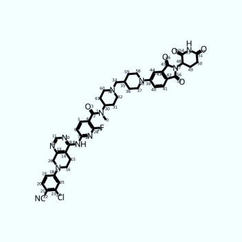 CN(C(=O)c1ccc(Nc2ncnc3c2CCN(c2ccc(C#N)c(Cl)c2)C3)nc1F)C1CCN(CC2CCN(c3ccc4c(c3)C(=O)N(C3CCC(=O)NC3=O)C4=O)CC2)CC1